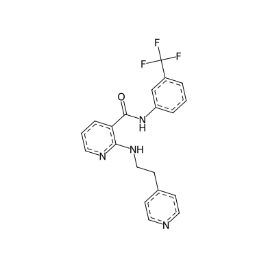 O=C(Nc1cccc(C(F)(F)F)c1)c1cccnc1NCCc1ccncc1